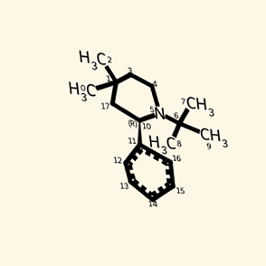 CC1(C)CCN(C(C)(C)C)[C@@H](c2ccccc2)C1